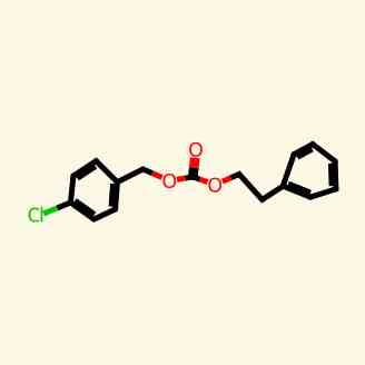 O=C(OCCc1ccccc1)OCc1ccc(Cl)cc1